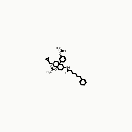 CC(=O)Oc1cccc(C23CCN(CC4CC4)CC2(OC(C)=O)CCC(NC(=O)CCCCCc2ccccc2)C3)c1